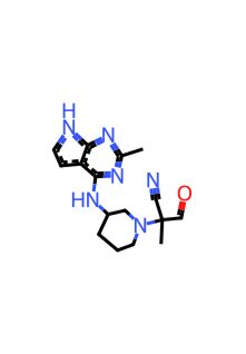 Cc1nc(NC2CCCN(C(C)(C#N)C=O)C2)c2cc[nH]c2n1